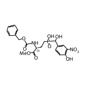 COC(=O)[C@H](CCP(=O)(O)C(O)c1ccc(O)c([N+](=O)[O-])c1)NC(=O)OCc1ccccc1